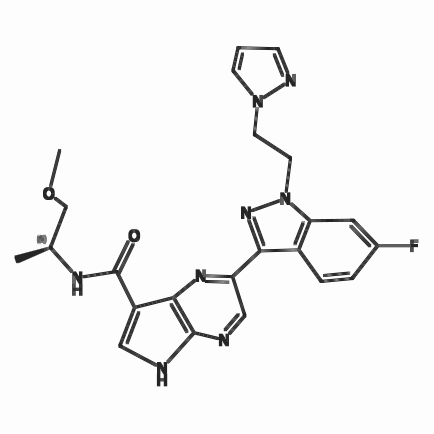 COC[C@H](C)NC(=O)c1c[nH]c2ncc(-c3nn(CCn4cccn4)c4cc(F)ccc34)nc12